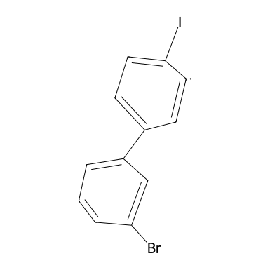 Brc1cccc(-c2c[c]c(I)cc2)c1